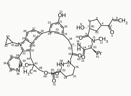 C=CC(=O)C1CC[C@](O)(C(=O)N(C)[C@H](C(=O)N[C@H]2Cc3cc(O)cc(c3)-c3ccc4c(c3)c(c(-c3cccnc3)n4C3CC3)CC(C)(C)COC(=O)[C@@]3(O)CCCN(N3)C2=O)C(C)C)C1